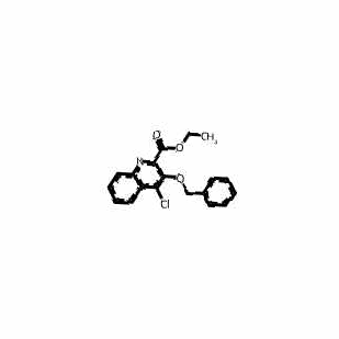 CCOC(=O)c1nc2ccccc2c(Cl)c1OCc1ccccc1